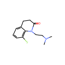 CN(C)CCN1C(=O)CCc2cccc(F)c21